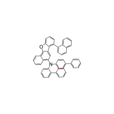 c1ccc(-c2ccc(N(c3ccccc3-c3ccccc3)c3cc4c(oc5cccc(-c6cccc7ccccc67)c54)c4ccccc34)cc2)cc1